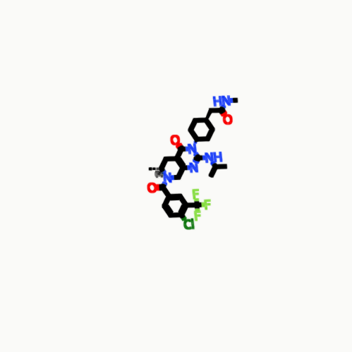 CNC(=O)C[C@H]1CC[C@H](n2c(NC(C)C)nc3c(c2=O)C[C@@H](C)N(C(=O)c2ccc(Cl)c(C(F)(F)F)c2)C3)CC1